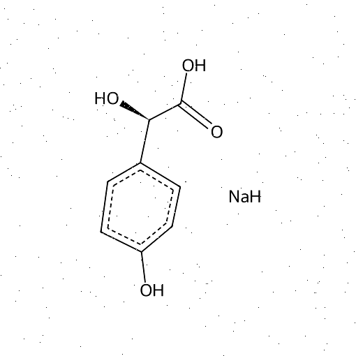 O=C(O)[C@H](O)c1ccc(O)cc1.[NaH]